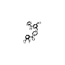 O=Cc1cc(CN2CCN(C(=O)c3cccc(Cl)c3F)CC2)nc(Nc2nccs2)c1